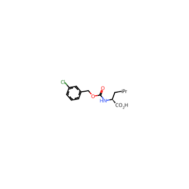 CC(C)C[C@H](NC(=O)OCc1cccc(Cl)c1)C(=O)O